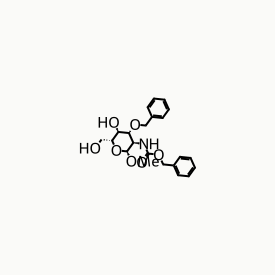 CO[C@H]1O[C@H](CO)[C@@H](O)[C@H](OCc2ccccc2)[C@H]1NC(=O)OCc1ccccc1